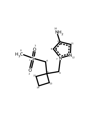 CS(=O)(=O)CC1(Cn2cc(N)cn2)CCC1